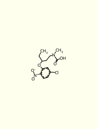 CCC(CCN(C)C(=O)O)Oc1cc(Cl)ccc1[N+](=O)[O-]